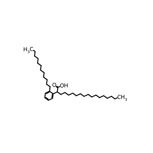 CCCCCCCCCCCCCCCCC(C(=O)O)c1ccccc1CCCCCCCCCCCC